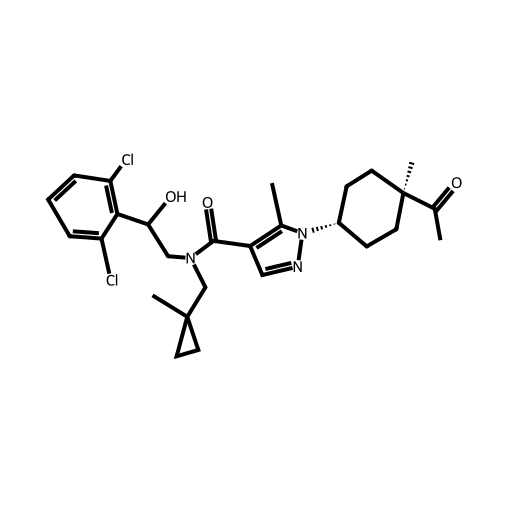 Cc1c(C(=O)N(CC(O)c2c(Cl)cccc2Cl)CC2(C)CC2)cnn1[C@H]1CC[C@](C)(C(C)=O)CC1